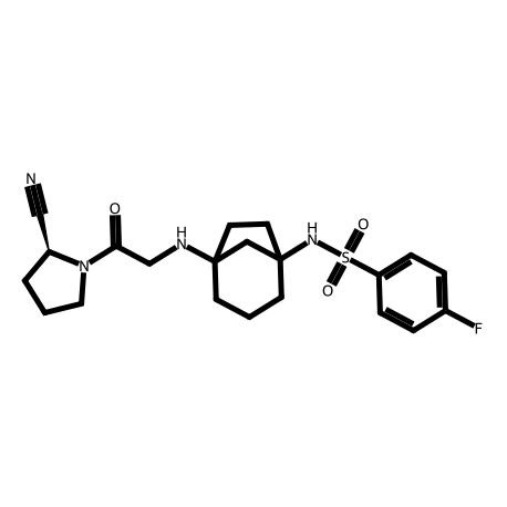 N#C[C@@H]1CCCN1C(=O)CNC12CCCC(NS(=O)(=O)c3ccc(F)cc3)(CC1)C2